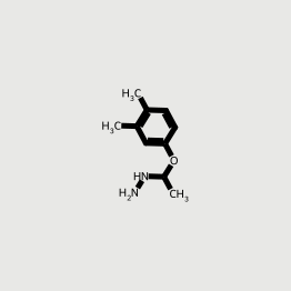 Cc1ccc(OC(C)NN)cc1C